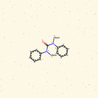 CCCCCCCCCN(C(=O)N(CCCCCCCCC)c1ccccc1)c1ccccc1